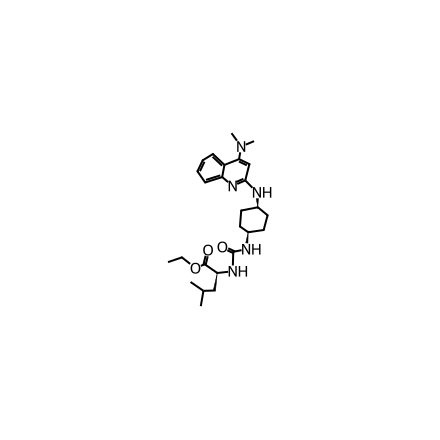 CCOC(=O)[C@H](CC(C)C)NC(=O)N[C@H]1CC[C@@H](Nc2cc(N(C)C)c3ccccc3n2)CC1